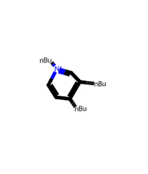 CCCCc1cc[n+](CCCC)cc1CCCC